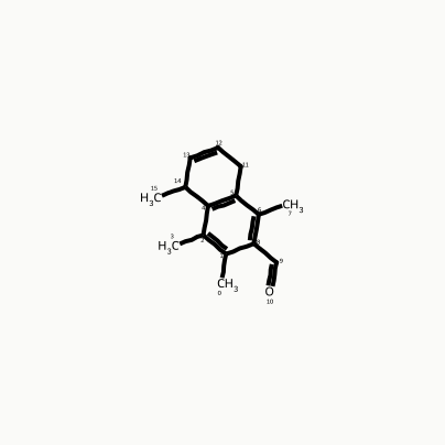 Cc1c(C)c2c(c(C)c1C=O)CC=CC2C